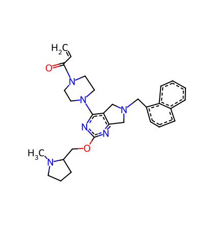 C=CC(=O)N1CCN(c2nc(OCC3CCCN3C)nc3c2CN(Cc2cccc4ccccc24)C3)CC1